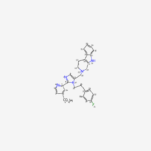 O=C(O)c1ccnc(-c2ncc(CN3CCc4c([nH]c5ccccc45)C3)n2CCc2ccc(F)cc2)c1